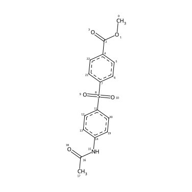 COC(=O)c1ccc(S(=O)(=O)c2ccc(NC(C)=O)cc2)cc1